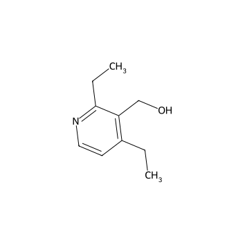 CCc1ccnc(CC)c1CO